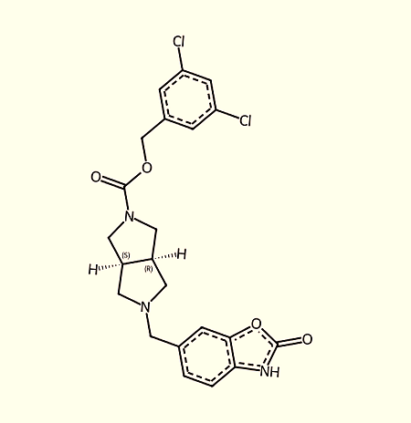 O=C(OCc1cc(Cl)cc(Cl)c1)N1C[C@H]2CN(Cc3ccc4[nH]c(=O)oc4c3)C[C@H]2C1